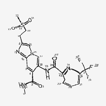 CNC(=O)c1cc2nc(CCS(C)(=O)=O)cn2cc1NC(=O)c1cccc(C(F)(F)F)n1